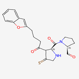 O=C[C@@H]1CCCN1C(=O)[C@H]1NCC(=S)C1C(=O)CCCc1cc2ccccc2o1